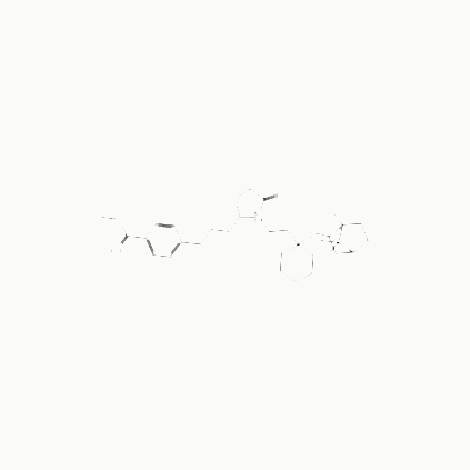 COC(=O)c1ccc(CCCC2SCC(=O)N2CCC2(OC3CC4CCC3(C)C4(C)C)CCCCC2)cc1